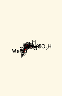 CNC(=O)c1c(-c2ccc(F)cc2)oc2cc(N(CCOC(=O)CNC(=O)CCCC(=O)O)S(C)(=O)=O)c(C3CC3)cc12